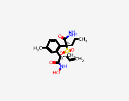 C=CC[C@H](C(=O)NO)c1cc(C)ccc1[C@](CCC)(C(=O)NN)S(C)(=O)=O